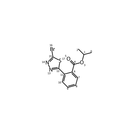 CC(C)OC(=O)c1ccccc1-c1nnc(Br)s1